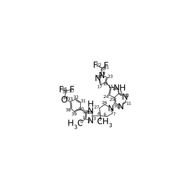 Cc1nc(C2(C)CCN(c3ncnc4[nH]c(-c5cnn(C(F)F)c5)cc34)CC2)[nH]c1-c1ccc(OC(F)F)cc1